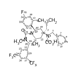 C=CC[C@]1(N(Cc2ccccc2)C(=O)O)CCN(C(=O)N(C)[C@H](C)c2cc(C(F)(F)F)cc(C(F)(F)F)c2)[C@@H](c2ccc(F)cc2C)C1